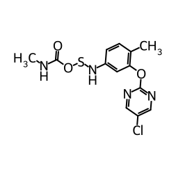 CNC(=O)OSNc1ccc(C)c(Oc2ncc(Cl)cn2)c1